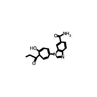 CCC(=O)C1C=CC(n2cnc3ccc(C(N)=O)cc32)=CC=C1O